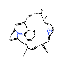 C=C1/C=C\C(C)=C(/c2ccccc2)c2ccc([nH]2)/C=C(C)/C=C\C(=C)/C(C)=c2/cc/c([nH]2)=C/1